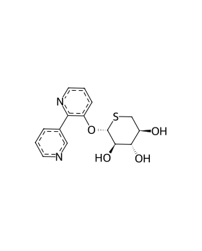 O[C@@H]1[C@@H](O)[C@H](Oc2cccnc2-c2cccnc2)SC[C@H]1O